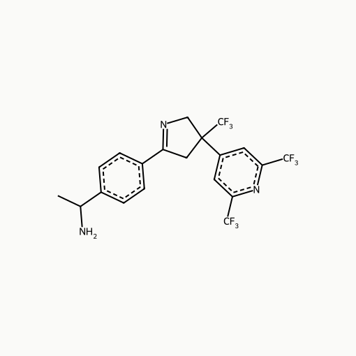 CC(N)c1ccc(C2=NCC(c3cc(C(F)(F)F)nc(C(F)(F)F)c3)(C(F)(F)F)C2)cc1